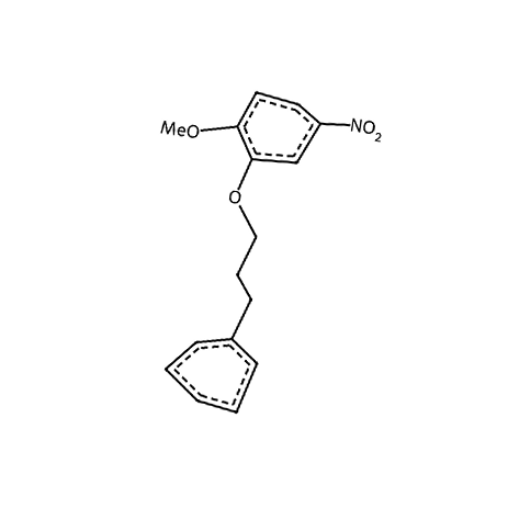 COc1ccc([N+](=O)[O-])cc1OCCCc1ccccc1